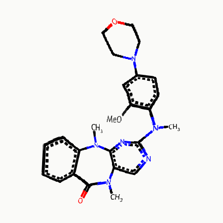 COc1cc(N2CCOCC2)ccc1N(C)c1ncc2c(n1)N(C)c1ccccc1C(=O)N2C